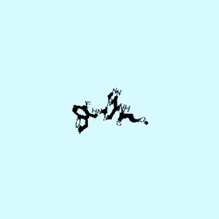 COCCC(=O)Nc1cnc(NCc2c(F)ccc3c2CCO3)n2cnnc12